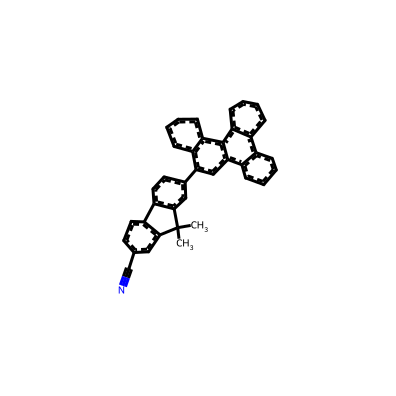 CC1(C)c2cc(C#N)ccc2-c2ccc(-c3cc4c5ccccc5c5ccccc5c4c4ccccc34)cc21